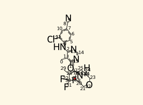 Cc1c(Nc2ccc(C#N)cc2Cl)ncnc1OC1CC2COC[C@@H](C1)N2CC(C)C(F)(F)F